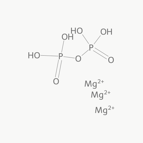 O=P(O)(O)OP(=O)(O)O.[Mg+2].[Mg+2].[Mg+2]